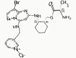 C[C@H](N)C(=O)OC[C@@H]1CCCC[C@@H]1Nc1cc(NCc2ccc[n+]([O-])c2)n2ncc(Br)c2n1